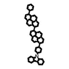 c1ccc(-c2ccc3ccc4c(-c5ccc6ccc7c(-c8ccc(-n9c%10ccccc%10c%10ccccc%109)cc8)ccc8ccc5c6c87)ccc5ccc2c3c54)cc1